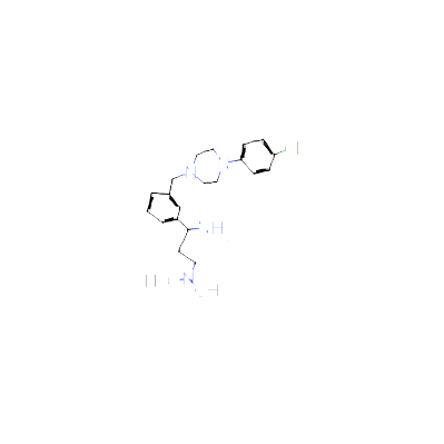 CN(C)CCC(N)c1cccc(CN2CCN(c3ccc(Cl)cc3)CC2)c1